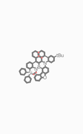 CC(C)(C)c1ccc(N2c3cc4ccccc4c4c3B(c3c2ccc2oc5ccccc5c32)N2c3ccccc3[Si](c3ccccc3)(c3ccccc3)c3cccc-4c32)c(-c2ccccc2)c1